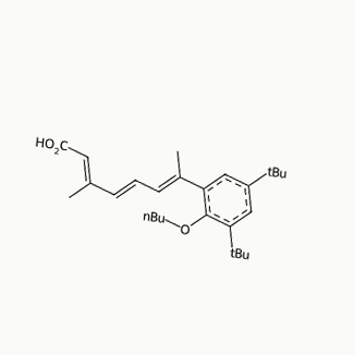 CCCCOc1c(C(C)=CC=CC(C)=CC(=O)O)cc(C(C)(C)C)cc1C(C)(C)C